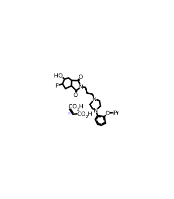 CC(C)Oc1ccccc1N1CCN(CCCN2C(=O)C3CC(O)C(F)CC3C2=O)CC1.O=C(O)/C=C\C(=O)O